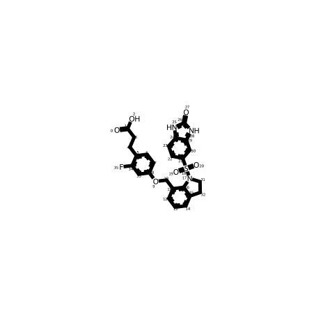 O=C(O)CCc1ccc(OCc2cccc3c2N(S(=O)(=O)c2ccc4[nH]c(=O)[nH]c4c2)CC3)cc1F